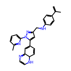 C=C(C)c1ccc(NCc2cc(C3=CC4=NC=CNC4C=C3)n(-c3cccc(C)n3)n2)cc1